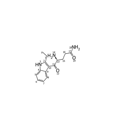 CCc1[nH]c2ccccc2c1C(=O)[C@@H](N)CCC(N)=O